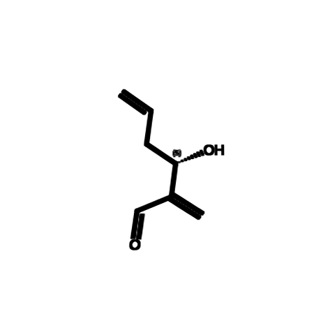 C=CC[C@H](O)C(=C)C=O